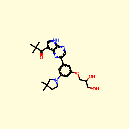 CC1(C)CCN(c2cc(OCC(O)CO)cc(-c3cnc4[nH]cc(C(=O)C(C)(C)C)c4n3)c2)C1